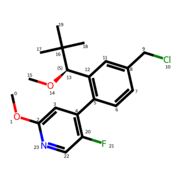 COc1cc(-c2ccc(CCl)cc2[C@@H](OC)C(C)(C)C)c(F)cn1